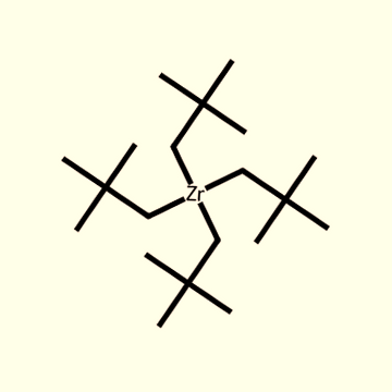 CC(C)(C)[CH2][Zr]([CH2]C(C)(C)C)([CH2]C(C)(C)C)[CH2]C(C)(C)C